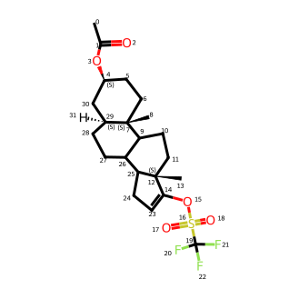 CC(=O)O[C@H]1CC[C@]2(C)C3CC[C@]4(C)C(OS(=O)(=O)C(F)(F)F)=CCC4C3CC[C@H]2C1